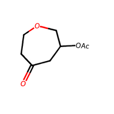 CC(=O)OC1COCCC(=O)C1